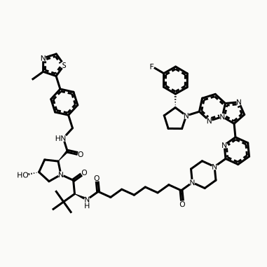 Cc1ncsc1-c1ccc(CNC(=O)[C@@H]2C[C@@H](O)CN2C(=O)[C@@H](NC(=O)CCCCCCC(=O)N2CCN(c3cccc(-c4cnc5ccc(N6CCC[C@@H]6c6cccc(F)c6)nn45)n3)CC2)C(C)(C)C)cc1